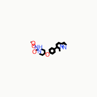 COONC(=O)N1CCC(Oc2ccc(-c3ccc4ccnn4c3C)cc2)CC1